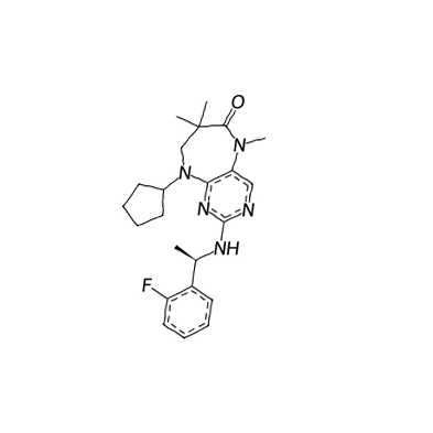 C[C@@H](Nc1ncc2c(n1)N(C1CCCC1)CC(C)(C)C(=O)N2C)c1ccccc1F